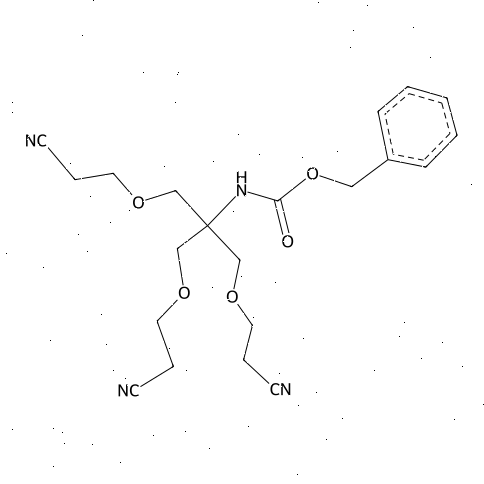 N#CCCOCC(COCCC#N)(COCCC#N)NC(=O)OCc1ccccc1